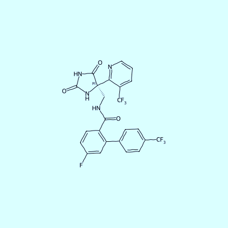 O=C1NC(=O)[C@@](CNC(=O)c2ccc(F)cc2-c2ccc(C(F)(F)F)cc2)(c2ncccc2C(F)(F)F)N1